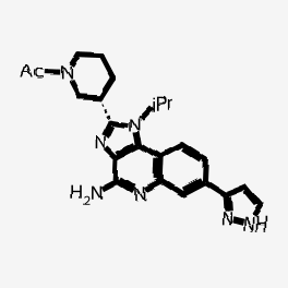 CC(=O)N1CCC[C@H](c2nc3c(N)nc4cc(-c5cc[nH]n5)ccc4c3n2C(C)C)C1